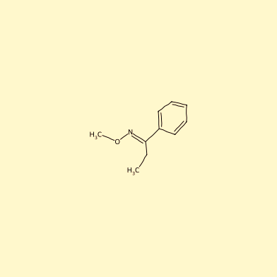 CC/C(=N\OC)c1ccccc1